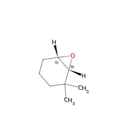 CC1(C)CCC[C@@H]2O[C@@H]21